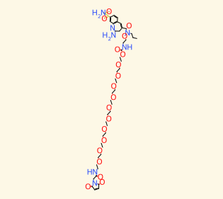 CCCN(OCCNC(=O)OCCOCCOCCOCCOCCOCCOCCOCCOCCOCCOCCNC(=O)CN1C(=O)C=CC1=O)C(=O)C1=Cc2ccc(S(N)(=O)=O)cc2N=C(N)C1